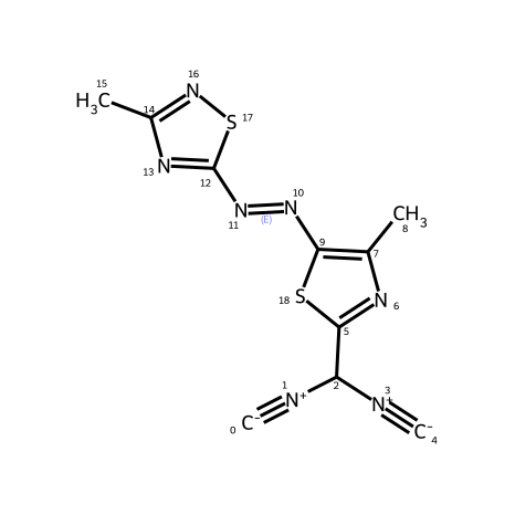 [C-]#[N+]C([N+]#[C-])c1nc(C)c(/N=N/c2nc(C)ns2)s1